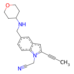 CC#Cc1cc2cc(CNC3CCOCC3)ccc2n1CC#N